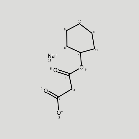 O=C([O-])CC(=O)OC1CCCCC1.[Na+]